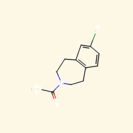 CC(=O)N1CCc2ccc(F)cc2CC1